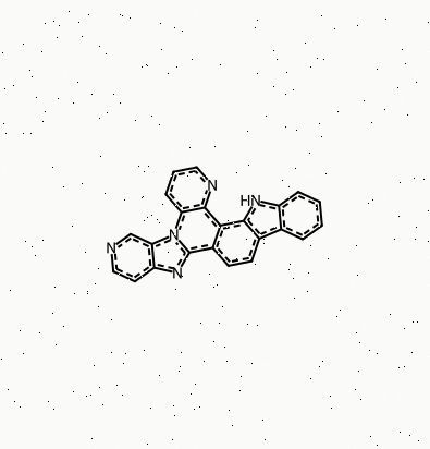 c1ccc2c(c1)[nH]c1c2ccc2c1c1ncccc1n1c3cnccc3nc21